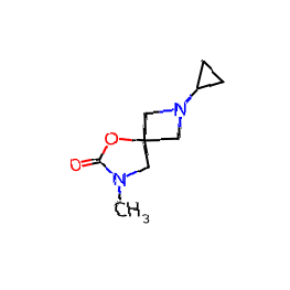 CN1CC2(CN(C3CC3)C2)OC1=O